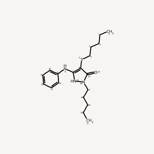 CCCCCSc1c(Nc2ccccc2)[nH]n(CCCCC)c1=O